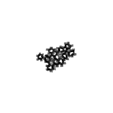 c1ccc(-c2nc(-c3ccccc3-c3ccc4ccccc4c3)cc(-c3ccc(-c4ccc5c(c4)C(c4ccccc4)(c4ccccc4)c4ccccc4-5)c4ccccc34)n2)cc1